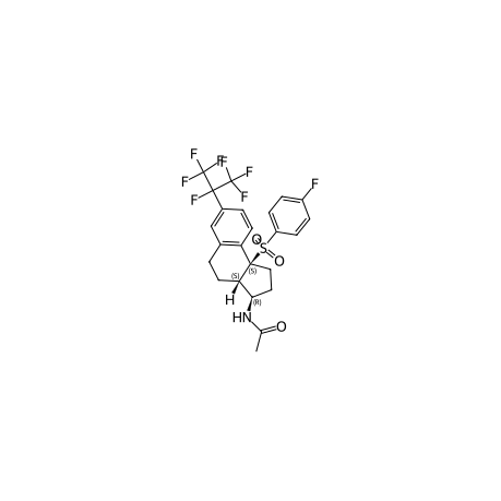 CC(=O)N[C@@H]1CC[C@@]2(S(=O)(=O)c3ccc(F)cc3)c3ccc(C(F)(C(F)(F)F)C(F)(F)F)cc3CC[C@@H]12